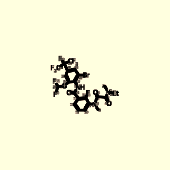 CCN(C)C(=O)C(=O)N(C)c1cccc(C(=O)Nc2c(Br)cc(C(F)(C(F)(F)F)C(F)(F)F)cc2OC(F)F)c1F